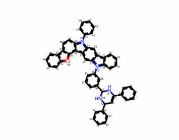 C1=C(c2ccccc2)NC(c2cccc(-n3c4ccccc4c4cc5c(cc43)c3c4oc6ccccc6c4ccc3n5-c3ccccc3)c2)NC1c1ccccc1